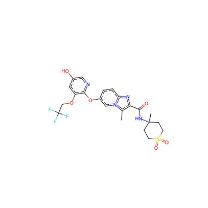 Cc1c(C(=O)NC2(C)CCS(=O)(=O)CC2)nc2ccc(Oc3ncc(O)cc3OCC(F)(F)F)cn12